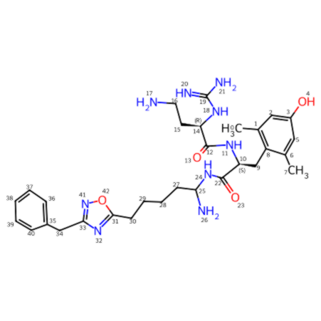 Cc1cc(O)cc(C)c1C[C@H](NC(=O)[C@@H](CCN)NC(=N)N)C(=O)NC(N)CCCCc1nc(Cc2ccccc2)no1